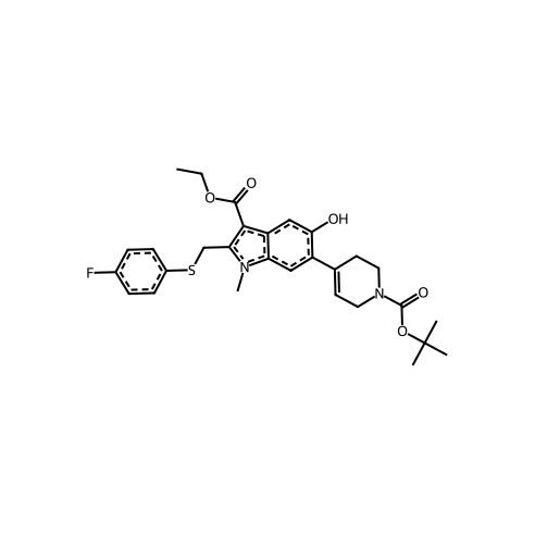 CCOC(=O)c1c(CSc2ccc(F)cc2)n(C)c2cc(C3=CCN(C(=O)OC(C)(C)C)CC3)c(O)cc12